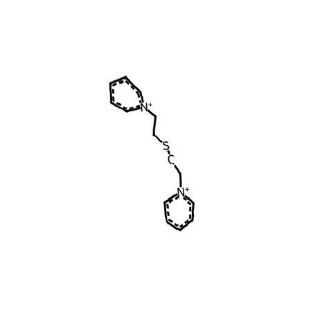 c1cc[n+](CCSCC[n+]2ccccc2)cc1